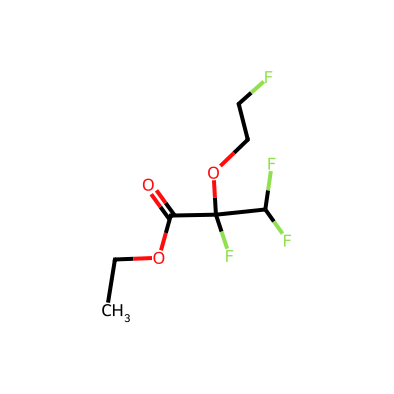 CCOC(=O)C(F)(OCCF)C(F)F